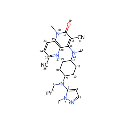 CC(C)CN(c1ccnn1C)C1CCC(N(C)c2c(C#N)c(=O)n(C)c3ccc(C#N)nc23)CC1